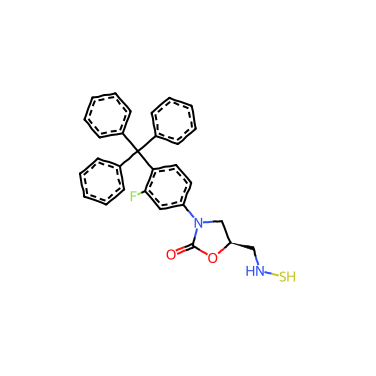 O=C1O[C@H](CNS)CN1c1ccc(C(c2ccccc2)(c2ccccc2)c2ccccc2)c(F)c1